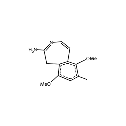 COc1cc(C)c(OC)c2c1CC(N)=NC=C2